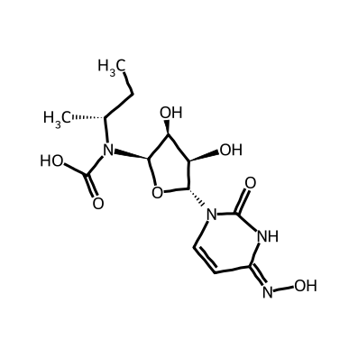 CC[C@@H](C)N(C(=O)O)[C@@H]1O[C@@H](n2cc/c(=N/O)[nH]c2=O)[C@H](O)[C@@H]1O